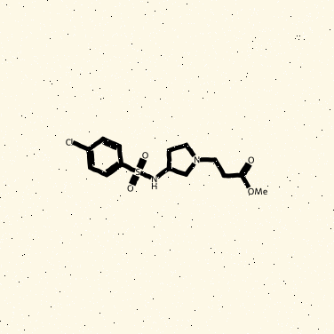 COC(=O)CCN1CCC(NS(=O)(=O)c2ccc(Cl)cc2)C1